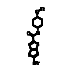 CCCc1cc2sc(C(=O)O[C@H]3CC[C@H](OCC)CC3)cc2s1